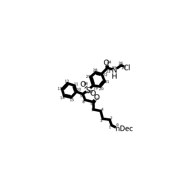 CCCCCCCCCCCCCCCC(=O)CC(c1ccccc1)S(=O)(=O)c1ccc(C(=O)NCCl)cc1